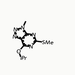 CSc1nc(OC(C)C)c2nnn(C)c2n1